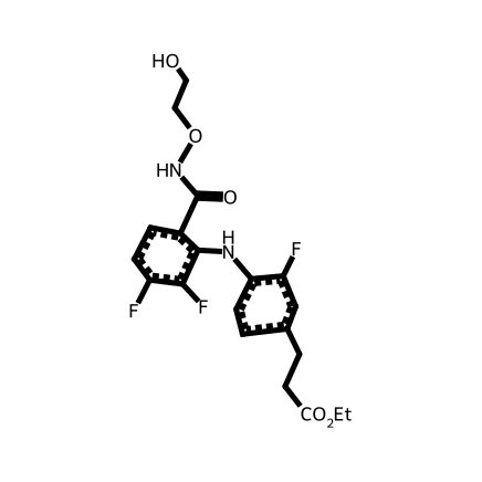 CCOC(=O)CCc1ccc(Nc2c(C(=O)NOCCO)ccc(F)c2F)c(F)c1